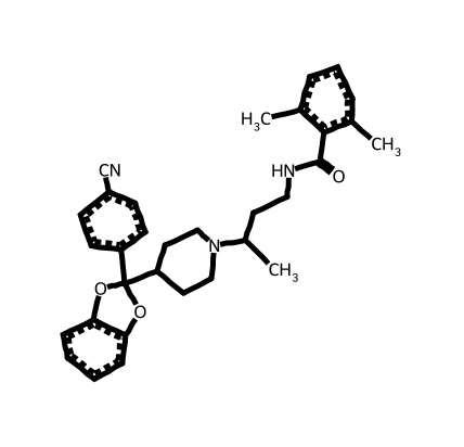 Cc1cccc(C)c1C(=O)NCCC(C)N1CCC(C2(c3ccc(C#N)cc3)Oc3ccccc3O2)CC1